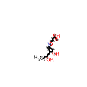 CCCC(O)C#CC1C(O)CC2C(=NOCCCC(=O)O)CC21